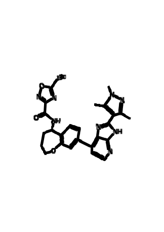 Cc1nn(C)c(C)c1-c1nc2c(-c3ccc4c(c3)OCCC[C@H]4NC(=O)c3noc(C(C)(C)C)n3)ccnc2[nH]1